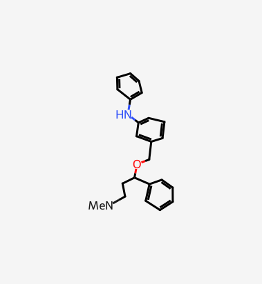 CNCCC(OCc1cccc(Nc2ccccc2)c1)c1ccccc1